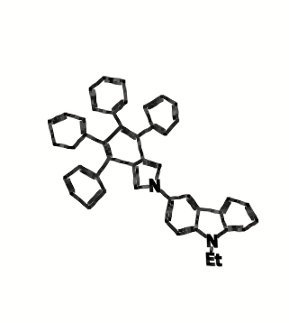 CCn1c2ccccc2c2cc(-n3cc4c(-c5ccccc5)c(C5=CC=CCC5)c(-c5ccccc5)c(-c5ccccc5)c4c3)ccc21